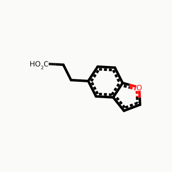 O=C(O)CCc1ccc2occc2c1